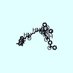 Cc1cc(C)n2c1C=C1C=CC(CCC(=O)NCCCCCNC(=O)CN3C(=O)[C@@H](NC(=O)[C@@H](C)NC(=O)Cc4ccc(C(=O)c5ccccc5)cc4)[C@@H](c4ccccc4)Oc4ccccc43)=[N+]1[B-]2(F)F